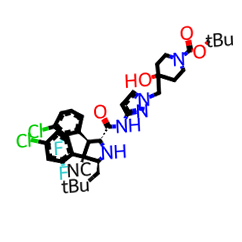 CC(C)(C)C[C@@H]1N[C@@H](C(=O)Nc2ccn(CC3(O)CCN(C(=O)OC(C)(C)C)CC3)n2)[C@H](c2cccc(Cl)c2F)[C@@]1(C#N)c1ccc(Cl)cc1F